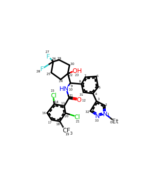 CCn1cc(-c2cccc(C(NC(=O)c3c(Cl)ccc(C(F)(F)F)c3Cl)C3(O)CCC(F)(F)CC3)c2)cn1